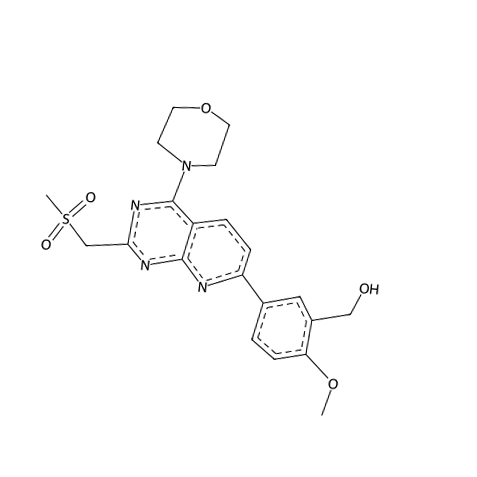 COc1ccc(-c2ccc3c(N4CCOCC4)nc(CS(C)(=O)=O)nc3n2)cc1CO